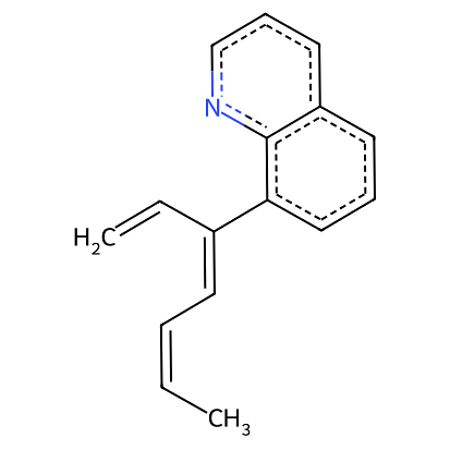 C=C/C(=C\C=C/C)c1cccc2cccnc12